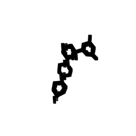 Cc1cc(C)cc(-c2cncc(N3CCN(c4ccc(F)cc4)CC3)n2)c1